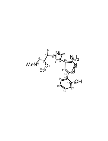 CCO[C@H](CNC)C(C)n1cc(-c2cc(-c3ccccc3O)nnc2N)cn1